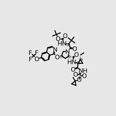 CC[C@@H]1C[C@]1(NC(=O)[C@@H]1C[C@H](Oc2nccc3cc(OC(F)(F)F)ccc23)CN1C(=O)[C@@H](NC(=O)OC(C)(C)C)C(C)(C)C)C(=O)NS(=O)(=O)OC1(C)CC1